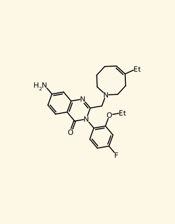 CCOc1cc(F)ccc1-n1c(CN2CCC/C=C(/CC)CC2)nc2cc(N)ccc2c1=O